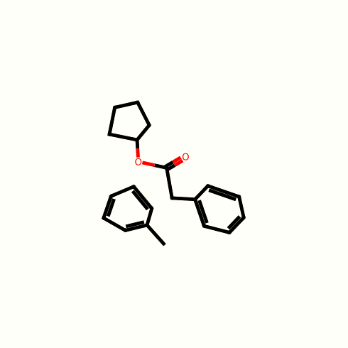 Cc1ccccc1.O=C(Cc1ccccc1)OC1CCCC1